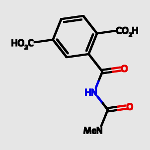 CNC(=O)NC(=O)c1cc(C(=O)O)ccc1C(=O)O